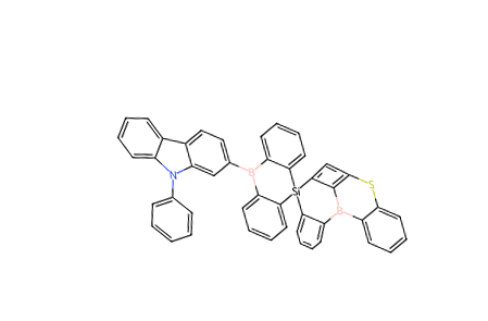 c1ccc(-n2c3ccccc3c3ccc(B4c5ccccc5[Si]5(c6ccccc64)c4ccccc4B4c6ccccc6Sc6cccc5c64)cc32)cc1